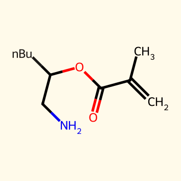 C=C(C)C(=O)OC(CN)CCCC